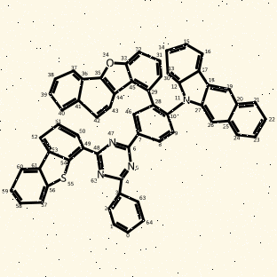 c1ccc(-c2nc(-c3ccc(-n4c5ccccc5c5cc6ccccc6cc54)c(-c4cccc5oc6c7ccccc7ccc6c45)c3)nc(-c3cccc4c3sc3ccccc34)n2)cc1